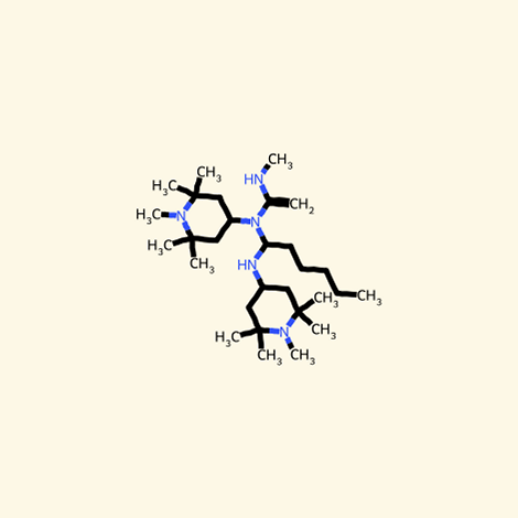 C=C(NC)N(C1CC(C)(C)N(C)C(C)(C)C1)C(CCCCC)NC1CC(C)(C)N(C)C(C)(C)C1